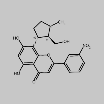 CN1CC[C@@H](c2c(O)cc(O)c3c(=O)cc(-c4cccc([N+](=O)[O-])c4)oc23)[C@@H]1CO